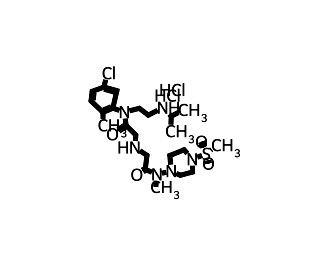 Cc1ccc(Cl)cc1N(CCNC(C)C)C(=O)CNCC(=O)N(C)N1CCN(S(C)(=O)=O)CC1.Cl.Cl